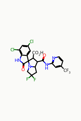 O=C(Nc1cc(C(F)(F)F)ccn1)C1C2CC(F)(F)CN2C2(C(=O)Nc3c(Cl)cc(Cl)cc32)C1C(=O)O